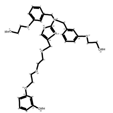 COCCOc1cccc(CN(Cc2cccc(OCCOC)c2)c2nc(COCCOCCOc3cccc(OC)c3)co2)c1